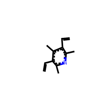 C=Cc1c(C)nc(C)c(C=C)c1C